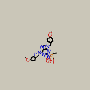 CCP(C)N(O)c1nc(NCc2ccc(OC)cc2)c2ncn(Cc3ccc(OC)cc3)c2n1